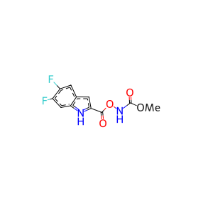 COC(=O)NOC(=O)c1cc2cc(F)c(F)cc2[nH]1